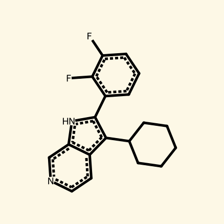 Fc1cccc(-c2[nH]c3cnccc3c2C2CCCCC2)c1F